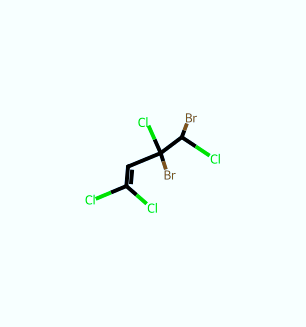 ClC(Cl)=CC(Cl)(Br)C(Cl)Br